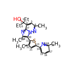 CCC(O)(CC)c1cc(C)nn2c(-c3sc(-c4cccc(C)n4)cc3C)c(C)nc12